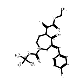 CCOC(=O)C(=O)C1CCN(C(=O)OC(C)(C)C)CC(=Cc2ccc(F)cc2)C1=O